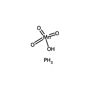 P.[O]=[Mn](=[O])(=[O])[OH]